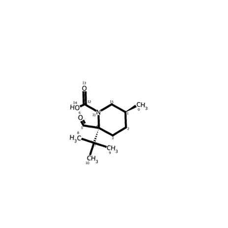 C[C@H]1CC[C@](C=O)(C(C)(C)C)N(C(=O)O)C1